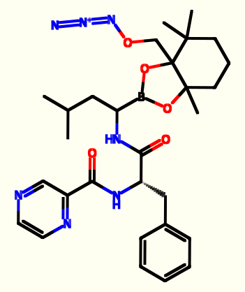 CC(C)CC(NC(=O)[C@H](Cc1ccccc1)NC(=O)c1cnccn1)B1OC2(C)CCCC(C)(C)C2(CON=[N+]=[N-])O1